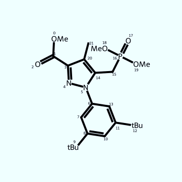 COC(=O)c1nn(-c2cc(C(C)(C)C)cc(C(C)(C)C)c2)c(CP(=O)(OC)OC)c1C